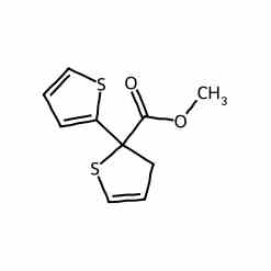 COC(=O)C1(c2cccs2)CC=CS1